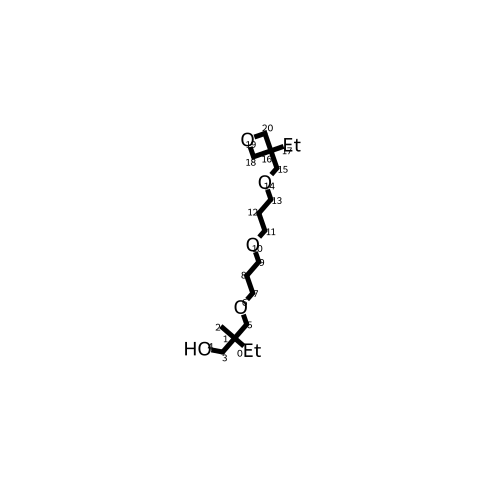 CCC(C)(CO)COCCCOCCCOCC1(CC)COC1